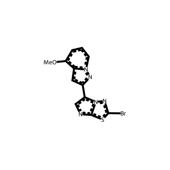 COc1cccn2nc(-c3cnc4sc(Br)nn34)cc12